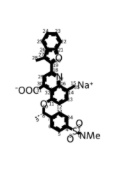 CNS(=O)(=O)c1ccc([C@H](C)Oc2ccc(C)c3nc(-c4oc5ccccc5c4C)cc(C(=O)[O-])c23)cc1.[Na+]